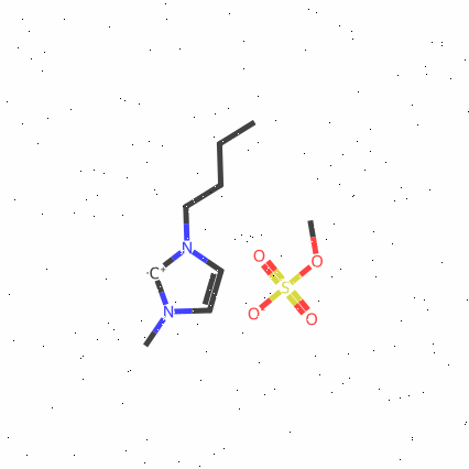 CCCCN1[C+]N(C)C=C1.COS(=O)(=O)[O-]